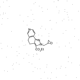 CCOC(=O)c1c2c(nn1CC1CO1)-c1ccncc1CC2